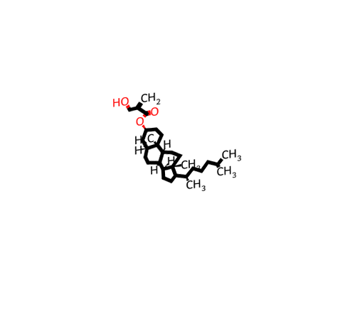 C=C(CO)C(=O)O[C@H]1CC[C@@]2(C)[C@@H](CC[C@@H]3[C@@H]2CC[C@]2(C)C([C@H](C)CCCC(C)C)CC[C@@H]32)C1